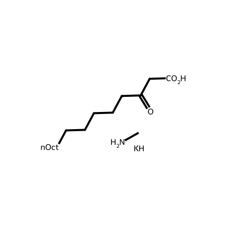 CCCCCCCCCCCCCC(=O)CC(=O)O.CN.[KH]